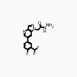 NNC(=O)Cn1ncc2ncc(-c3ccc(F)c(C(F)F)c3)cc21